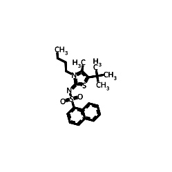 CCCCn1c(C)c(C(C)(C)C)s/c1=N\S(=O)(=O)c1cccc2ccccc12